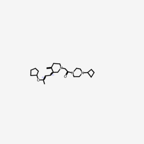 C=C1CCN(CC(=O)N2CCN(C3CCC3)CC2)C/C1=C/C=C(\C)OC1CCCC1